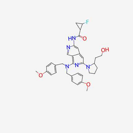 COc1ccc(CN(Cc2ccc(OC)cc2)c2nc(N3CCCC3CCO)cc3cc(NC(=O)C4CC4F)ncc23)cc1